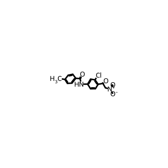 Cc1ccc(C(=O)Nc2ccc(C(=O)C[N+](=O)[O-])c(Cl)c2)cc1